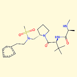 CN[C@@H](C)C(=O)N[C@H](C(=O)N1CCC[C@H]1CN(CCc1ccccc1)S(C)(=O)=O)C(C)(C)C